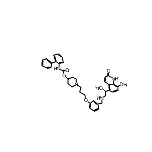 O=C(Nc1ccccc1-c1ccccc1)OC1CCN(CCCOc2cccc(CNC[C@@H](O)c3ccc(O)c4[nH]c(=O)ccc34)c2)CC1